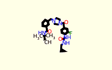 C#CC(C)(C)NC(=O)c1cccc(CN2CCN(C(=O)c3ccc(NC(=O)NCC4CC4)c(F)c3)CC2)c1